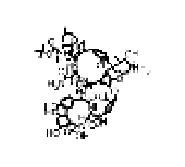 CC(C)C[C@H](NC(=O)OC(C)(C)C)C(=O)N[C@H]1C(=O)N[C@@H](CC(N)=O)C(=O)N[C@H]2C(=O)N[C@H]3C(=O)N[C@H](C(=O)N[C@H](C(=O)O)c4cc(O)cc(O)c4-c4cc3ccc4O)[C@H](O)c3ccc(c(Cl)c3)Oc3cc2cc(c3OC2C[C@](C)(N)[C@H](O)[C@H](C)O2)Oc2ccc(cc2Cl)[C@H]1O